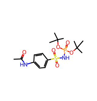 CC(=O)Nc1ccc(S(=O)(=O)NP(=O)(OC(C)(C)C)OC(C)(C)C)cc1